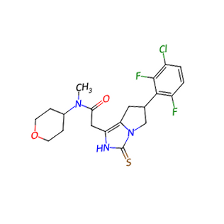 CN(C(=O)Cc1[nH]c(=S)n2c1CC(c1c(F)ccc(Cl)c1F)C2)C1CCOCC1